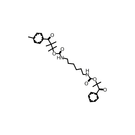 Cc1ccc(C(=O)C(C)(C)C(C)(C)OC(=O)NCCCCCCNC(=O)OC(C)(C)C(=O)c2ccccc2)cc1